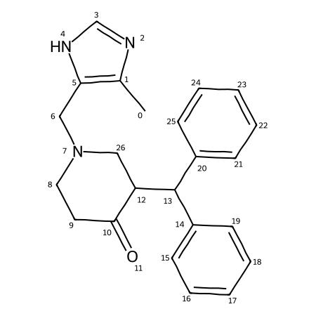 Cc1nc[nH]c1CN1CCC(=O)C(C(c2ccccc2)c2ccccc2)C1